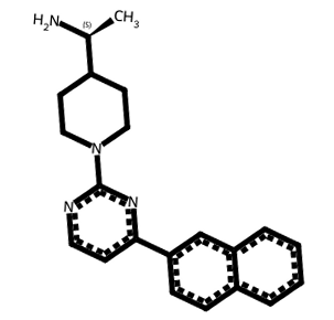 C[C@H](N)C1CCN(c2nccc(-c3ccc4ccccc4c3)n2)CC1